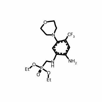 CCOP(=O)(CNc1cc(N2CCOCC2)c(C(F)(F)F)cc1N)OCC